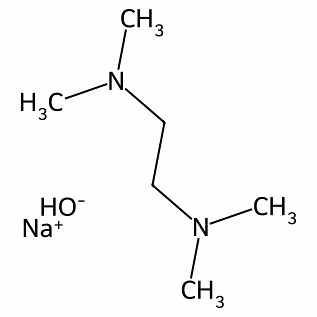 CN(C)CCN(C)C.[Na+].[OH-]